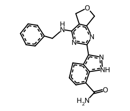 NC(=O)c1cccc2c(-c3nc4c(c(NCc5ccccc5)n3)COC4)n[nH]c12